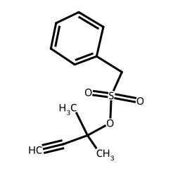 C#CC(C)(C)OS(=O)(=O)Cc1ccccc1